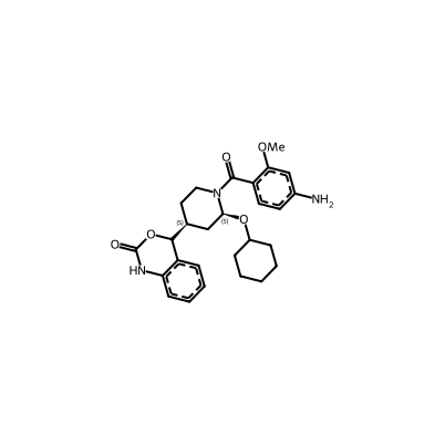 COc1cc(N)ccc1C(=O)N1CC[C@H](C2OC(=O)Nc3ccccc32)C[C@@H]1OC1CCCCC1